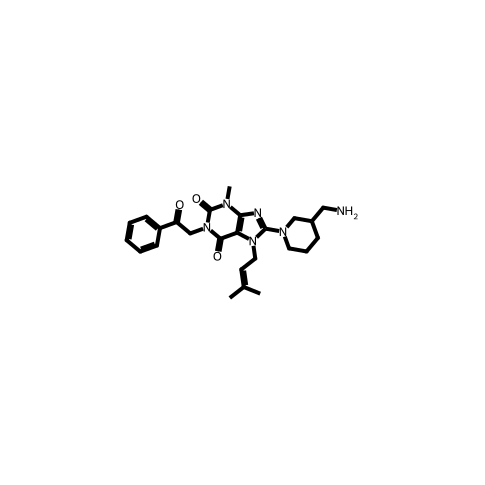 CC(C)=CCn1c(N2CCCC(CN)C2)nc2c1c(=O)n(CC(=O)c1ccccc1)c(=O)n2C